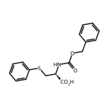 O=C(N[C@H](CSc1ccccc1)C(=O)O)OCc1ccccc1